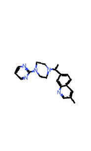 Cc1cnc2cc(C(C)N3CCN(c4ncccn4)CC3)ccc2c1